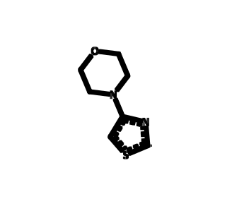 [c]1nc(N2CCOCC2)cs1